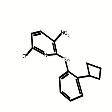 O=[N+]([O-])c1ccc(Cl)nc1Nc1ccccc1C1CCC1